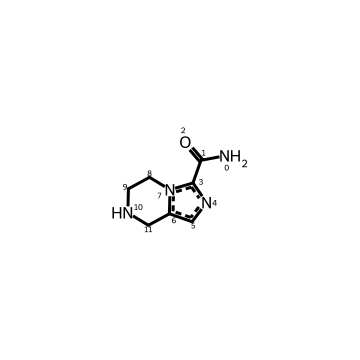 NC(=O)c1ncc2n1CCNC2